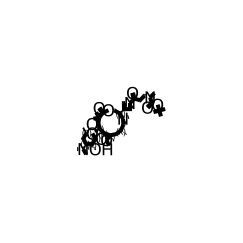 CO[C@]1(C)C[C@@H](C)CN(C)[C@H](C2CN(C(=O)CCN(C)C(=O)OC(C)(C)C)C2)COC(=O)C(C)(C)C(=O)[C@H](C)[C@H]1O[C@@H]1O[C@H](C)C[C@H](N(C)C)[C@H]1O